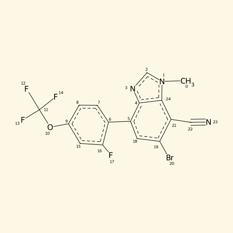 Cn1cnc2c(-c3ccc(OC(F)(F)F)cc3F)cc(Br)c(C#N)c21